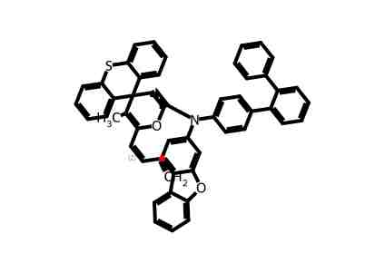 C=C/C=C\C1=C(C)C2(c3ccccc3Sc3ccccc32)c2cccc(N(c3ccc(-c4ccccc4-c4ccccc4)cc3)c3ccc4c(c3)oc3ccccc34)c2O1